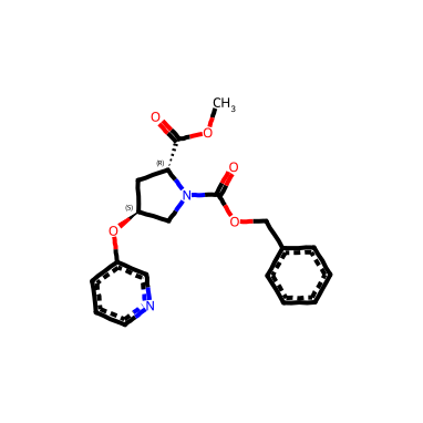 COC(=O)[C@H]1C[C@H](Oc2cccnc2)CN1C(=O)OCc1ccccc1